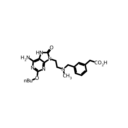 CCCCOc1nc(N)c2[nH]c(=O)n(CCN(C)Cc3cccc(CC(=O)O)c3)c2n1